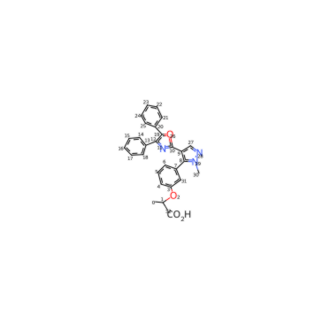 CC(Oc1cccc(-c2c(-c3nc(-c4ccccc4)c(-c4ccccc4)o3)cnn2C)c1)C(=O)O